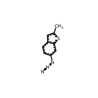 Cc1cc2ccc(N=[N+]=[N-])cc2s1